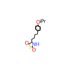 CC(C)Oc1ccc(CCCCC2NC(=O)SC2=O)cc1